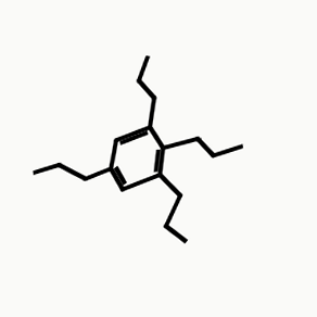 CC[CH]c1c(CCC)cc(CCC)cc1CCC